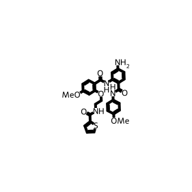 COc1ccc(NC(=O)c2ccc(N)cc2NC(=O)c2ccc(OC)cc2OCCNC(=O)c2cccs2)cc1